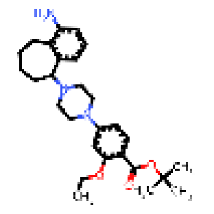 CCOc1cc(N2CCN(C3CCCCc4c(N)cccc43)CC2)ccc1C(=O)OC(C)(C)C